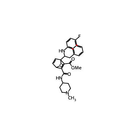 COC(=O)C1=C(C(=O)NC2CCN(C)CC2)C2C=CC1(C(Cc1ccccc1)Nc1ccc(F)cc1)O2